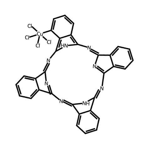 [Cl][Cu]([Cl])([Cl])([Cl])[c]1cccc2c3nc4nc(nc5[nH]c(nc6nc(nc([nH]3)c12)-c1ccccc1-6)c1ccccc51)-c1ccccc1-4